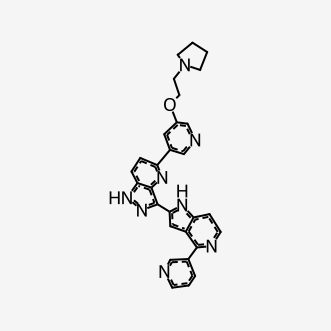 c1cncc(-c2nccc3[nH]c(-c4n[nH]c5ccc(-c6cncc(OCCN7CCCC7)c6)nc45)cc23)c1